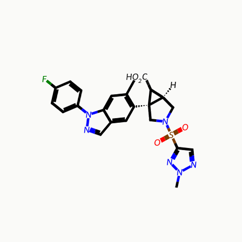 Cc1cc2c(cnn2-c2ccc(F)cc2)cc1[C@@]12CN(S(=O)(=O)c3cnn(C)n3)C[C@@H]1C2C(=O)O